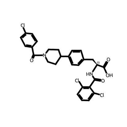 O=C(N[C@@H](Cc1ccc(C2CCN(C(=O)c3ccc(Cl)cc3)CC2)cc1)C(=O)O)c1c(Cl)cccc1Cl